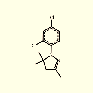 CC1=NN(c2ccc(Cl)cc2Cl)C(C)(C)C1